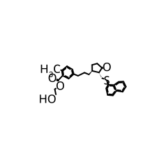 Cc1ccc(CCC[C@H]2CCC(=O)[C@@H]2CSc2cccc3ccccc23)cc1C(=O)OCCO